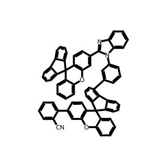 N#Cc1ccccc1-c1ccc2c(c1)Oc1ccccc1C21c2ccccc2-c2c(-c3cccc(-n4c(-c5ccc6c(c5)Oc5ccccc5C65c6ccccc6-c6ccccc65)nc5ccccc54)c3)cccc21